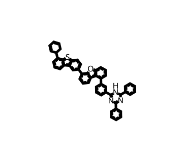 C1=CCC(c2cccc3c2sc2ccc(-c4cccc5c4oc4cccc(-c6cccc(C7=NC(c8ccccc8)=NC(c8ccccc8)N7)c6)c45)cc23)C=C1